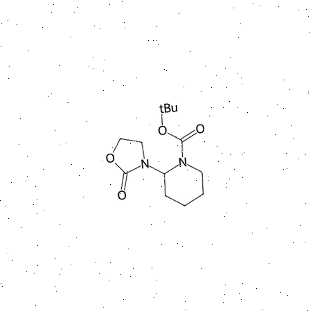 CC(C)(C)OC(=O)N1CCCCC1N1CCOC1=O